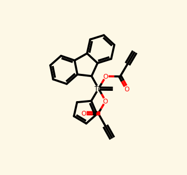 C#CC(=O)[O][Ti](=[CH2])([O]C(=O)C#C)([C]1=CC=CC1)[CH]1c2ccccc2-c2ccccc21